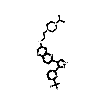 CC(C)N1CCN(CCNc2cnc3ccc(-c4c[nH]nc4-c4cccc(C(F)(F)F)n4)nc3c2)CC1